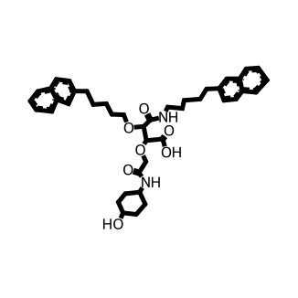 O=C(COC(C(=O)O)C(OCCCCCc1ccc2ccccc2c1)C(=O)NCCCCCc1ccc2ccccc2c1)NC1CCC(O)CC1